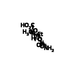 CCN(CCNN(C)C(=O)CCC(=O)O)c1ccc(N2C[C@H](CN)OC2=O)cc1F